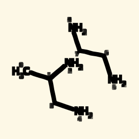 CC(N)CN.NCCN